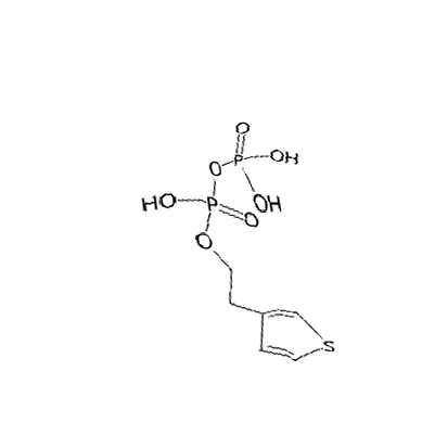 O=P(O)(O)OP(=O)(O)OCCc1ccsc1